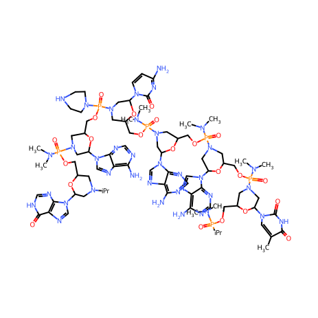 Cc1cn(C2CN(P(=O)(OCC3CN(P(=O)(OCC4CN(P(=O)(OCC5CN(P(=O)(OCC6CN(P(=O)(OCC7CN(C(C)C)CC(n8cnc9c(=O)[nH]cnc98)O7)N(C)C)CC(n7cnc8c(N)ncnc87)O6)N6CCNCC6)CC(n6ccc(N)nc6=O)O5)N(C)C)CC(n5cnc6c(N)ncnc65)O4)N(C)C)CC(n4cnc5c(N)ncnc54)O3)N(C)C)CC(COP(=O)(C(C)C)N(C)C)O2)c(=O)[nH]c1=O